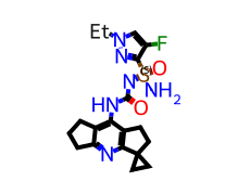 CCn1cc(F)c([S@@](N)(=O)=NC(=O)Nc2c3c(nc4c2CCC42CC2)CCC3)n1